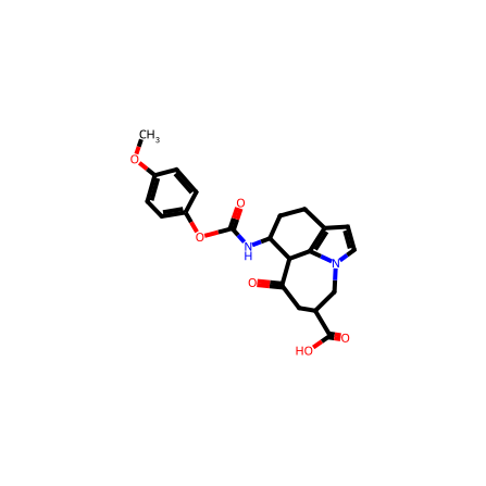 COc1ccc(OC(=O)NC2CCc3ccn4c3C2C(=O)CC(C(=O)O)C4)cc1